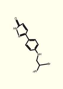 CCCC(Br)CNc1ccc(-c2ccc(=O)[nH]n2)cc1